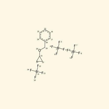 F[B-](F)(F)F.F[B-](F)(F)F.F[B-](F)(F)F.c1ccc(COC2CC2)cc1